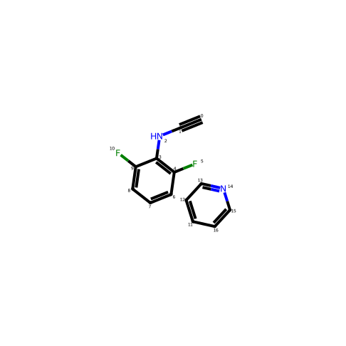 C#CNc1c(F)cccc1F.c1ccncc1